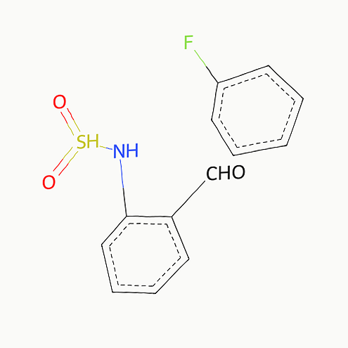 Fc1ccccc1.O=Cc1ccccc1N[SH](=O)=O